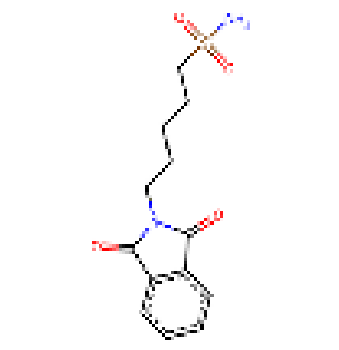 NS(=O)(=O)CCCCCN1C(=O)c2ccccc2C1=O